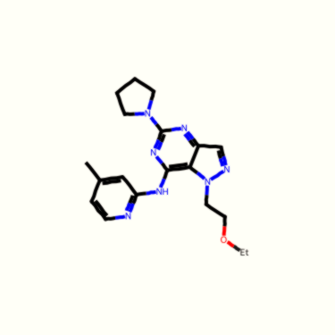 CCOCCn1ncc2nc(N3CCCC3)nc(Nc3cc(C)ccn3)c21